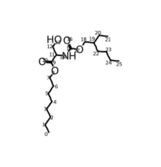 CCCCCCCCOC(=O)C(CO)NC(=O)OCC(CC)CCCC